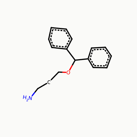 NCCCOC(c1ccccc1)c1ccccc1